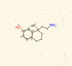 CCCC1(CCN)CCCc2ccc(O)cc21